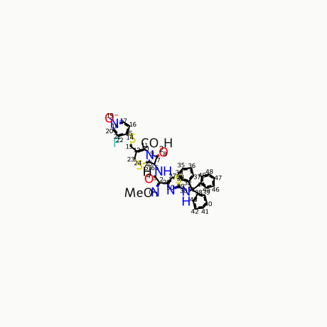 CO/N=C(\C(=O)N[C@@H]1C(=O)N2C(C(=O)O)=C(CSc3cc[n+]([O-])cc3F)CS[C@H]12)c1csc(NC(c2ccccc2)(c2ccccc2)c2ccccc2)n1